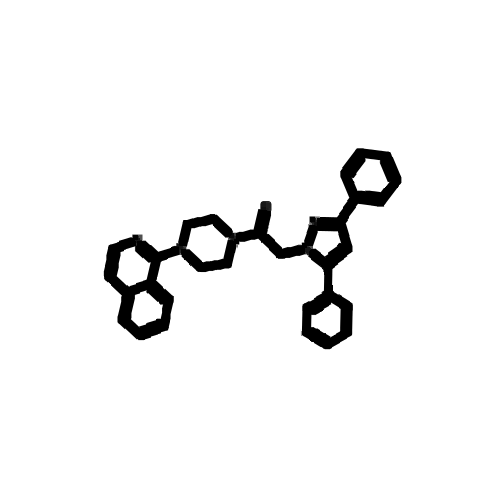 O=C(Cn1nc(-c2ccccc2)cc1-c1ccccc1)N1CCN(c2nccc3ccccc23)CC1